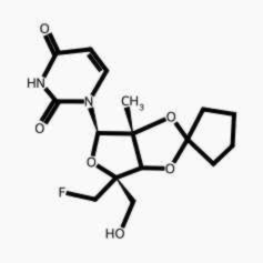 C[C@@]12OC3(CCCC3)OC1[C@](CO)(CF)O[C@H]2n1ccc(=O)[nH]c1=O